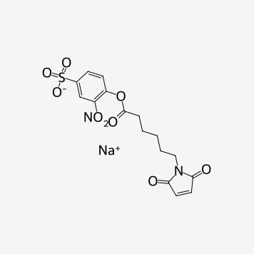 O=C(CCCCCN1C(=O)C=CC1=O)Oc1ccc(S(=O)(=O)[O-])cc1[N+](=O)[O-].[Na+]